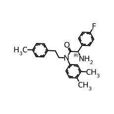 Cc1ccc(CCN(C(=O)[C@H](N)c2ccc(F)cc2)c2ccc(C)c(C)c2)cc1